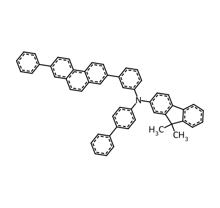 CC1(C)c2ccccc2-c2ccc(N(c3ccc(-c4ccccc4)cc3)c3cccc(-c4ccc5c(ccc6cc(-c7ccccc7)ccc65)c4)c3)cc21